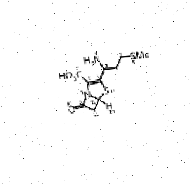 CSCCC(N)C1=C(C(=O)O)N2C(=O)C[C@H]2S1